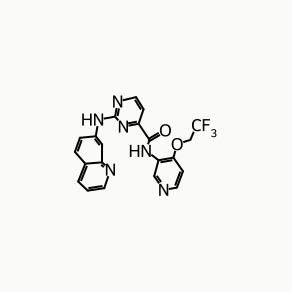 O=C(Nc1cnccc1OCC(F)(F)F)c1ccnc(Nc2ccc3cccnc3c2)n1